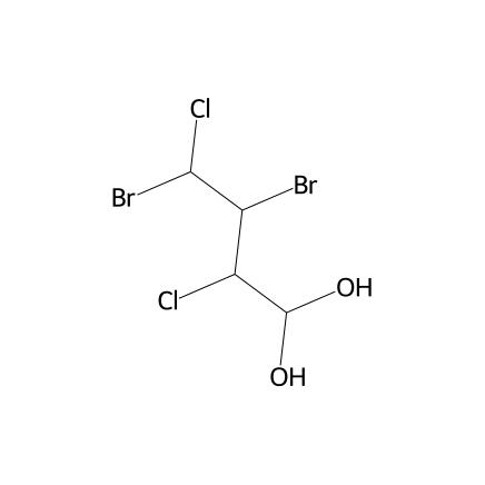 OC(O)C(Cl)C(Br)C(Cl)Br